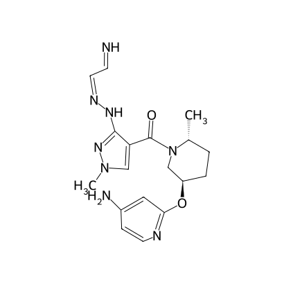 C[C@@H]1CC[C@@H](Oc2cc(N)ccn2)CN1C(=O)c1cn(C)nc1N/N=C\C=N